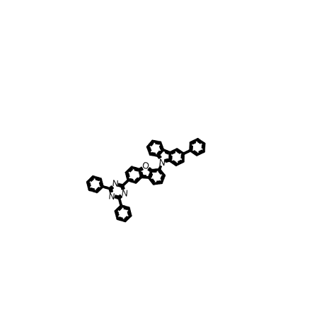 c1ccc(-c2ccc3c(c2)c2ccccc2n3-c2cccc3c2oc2ccc(-c4nc(-c5ccccc5)nc(-c5ccccc5)n4)cc23)cc1